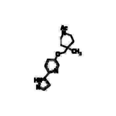 CC(=O)N1CCC(C)(COc2ccc(-c3ccn[nH]3)nc2)CC1